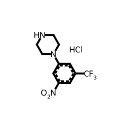 Cl.O=[N+]([O-])c1cc(N2CCNCC2)cc(C(F)(F)F)c1